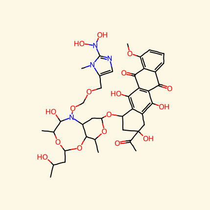 COc1cccc2c1C(=O)c1c(O)c3c(c(O)c1C2=O)CC(O)(C(C)=O)CC3OC1CC2C(OC(CC(C)O)OC(C)C(O)N2OCOCc2cnc(N(O)O)n2C)C(C)O1